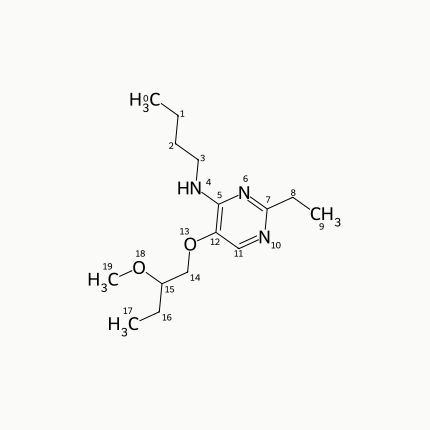 CCCCNc1nc(CC)ncc1OCC(CC)OC